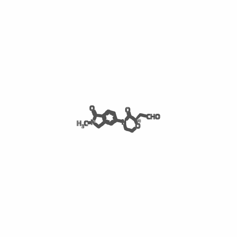 CN1Cc2cc(N3CCO[C@H](CC=O)C3=O)ccc2C1=O